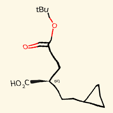 CC(C)(C)OC(=O)C[C@@H](CC1CC1)C(=O)O